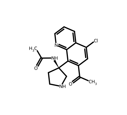 CC(=O)N[C@]1(c2c(C(C)=O)cc(Cl)c3cccnc23)CCNC1